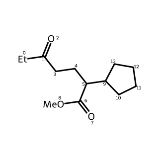 CCC(=O)CCC(C(=O)OC)C1CCCC1